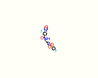 O=C(NCC1C2CN(S(=O)(=O)c3ccc(F)cc3)CC12)c1ccc(N2CCOCC2)c(F)c1